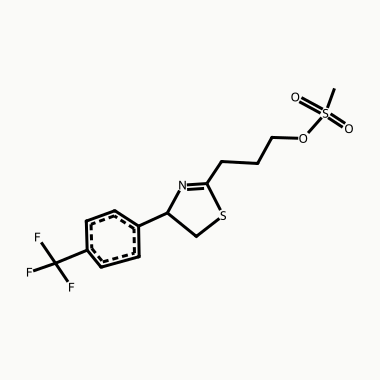 CS(=O)(=O)OCCCC1=NC(c2ccc(C(F)(F)F)cc2)CS1